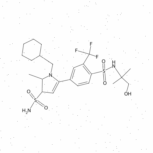 CC1C(S(N)(=O)=O)C=C(c2ccc(S(=O)(=O)NC(C)(C)CO)c(C(F)(F)F)c2)N1CC1CCCCC1